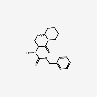 CCN(C(=O)OCc1ccccc1)C(CC(=O)O)C(=O)N1CCCCC1